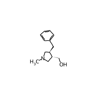 CN1C[C@@H](CO)[C@H](Cc2ccccc2)C1